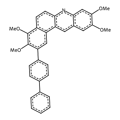 COc1cc2cc3c(ccc4c(OC)c(OC)c(-c5ccc(-c6ccccc6)cc5)cc43)nc2cc1OC